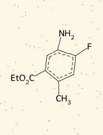 CCOC(=O)c1cc(N)c(F)cc1C